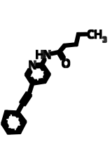 CCCCC(=O)Nc1ccc(C#Cc2ccccc2)cn1